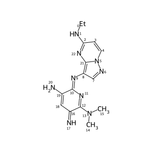 CCNc1ccn2ncc(/N=C3\N=C(N(C)C)C(=N)C=C3N)c2n1